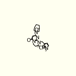 O=c1cc(N2CC3CCC(C2)O3)nc2n1CC[C@@H](C(F)(F)F)N2Cc1ccno1